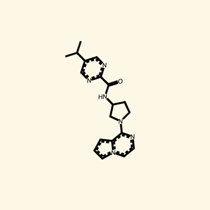 CC(C)c1cnc(C(=O)NC2CCN(c3nccn4cccc34)C2)nc1